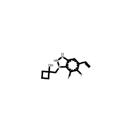 C=Cc1cc2c(c(F)c1F)N(CC1(O)CCC1)NN2